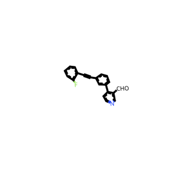 O=Cc1cnccc1-c1cccc(C#Cc2ccccc2F)c1